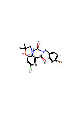 CC1(C)Cn2c(=O)n(Cc3ccc(Br)cc3)c(=O)c3cc(Cl)cc(c32)O1